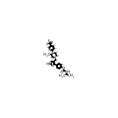 CC(C)NC(=O)Oc1ccc(-c2n[nH]cc2CN2CCN(c3ccc(C(F)(F)F)cn3)[C@H](C)C2)cc1